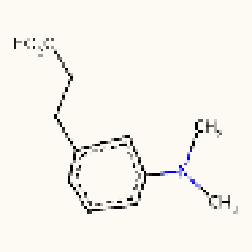 CN(C)c1cccc(CCC(=O)O)c1